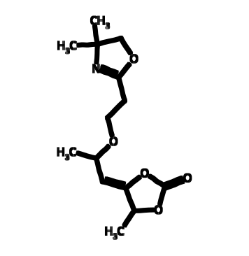 CC(C=C1OC(=O)OC1C)OCCC1=NC(C)(C)CO1